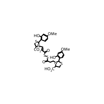 COc1ccc(C2SCC(C(=O)O)N2CCC(=O)SSC(=O)CCN2C(C(=O)O)CSC2c2ccc(OC)cc2O)c(O)c1